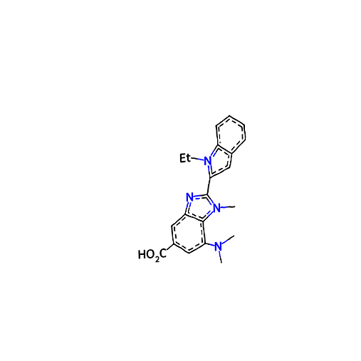 CCn1c(-c2nc3cc(C(=O)O)cc(N(C)C)c3n2C)cc2ccccc21